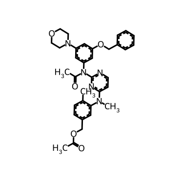 CC(=O)OCc1ccc(C)c(N(C)c2ccnc(N(C(C)=O)c3cc(OCc4ccccc4)cc(N4CCOCC4)c3)n2)c1